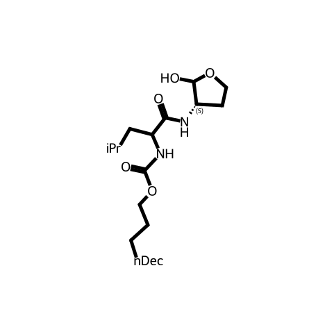 CCCCCCCCCCCCCOC(=O)NC(CC(C)C)C(=O)N[C@H]1CCOC1O